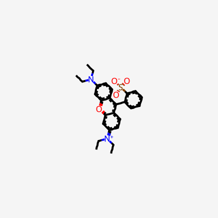 CCN(CC)c1ccc2c(-c3ccccc3S(=O)(=O)[O-])c3ccc(=[N+](CC)CC)cc-3oc2c1